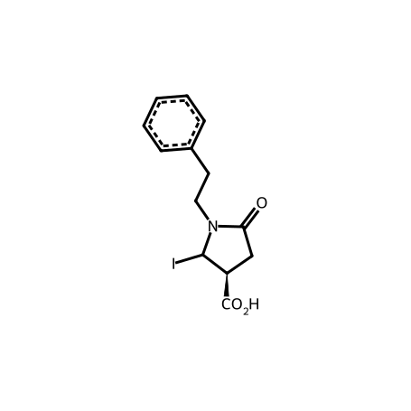 O=C(O)[C@@H]1CC(=O)N(CCc2ccccc2)C1I